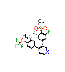 Cc1cc(-c2ccncc2-c2cc(F)c(S(C)(=O)=O)c(F)c2)ccc1OC(F)(F)F